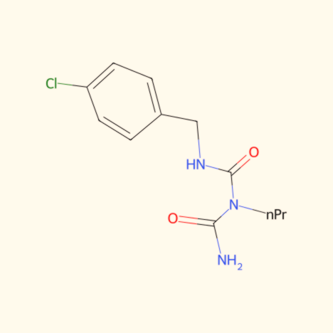 CCCN(C(N)=O)C(=O)NCc1ccc(Cl)cc1